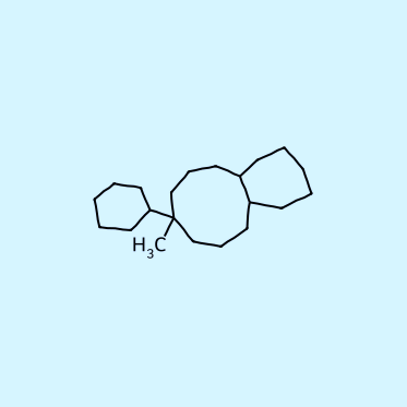 CC1(C2CCCCC2)CCCC2CCCCCC2CCC1